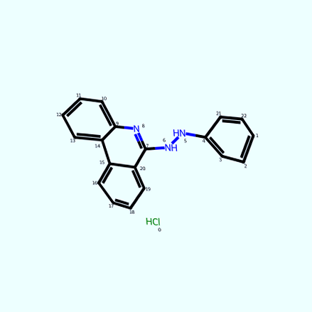 Cl.c1ccc(NNc2nc3ccccc3c3ccccc23)cc1